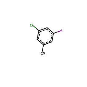 N#Cc1cc(Cl)cc(I)c1